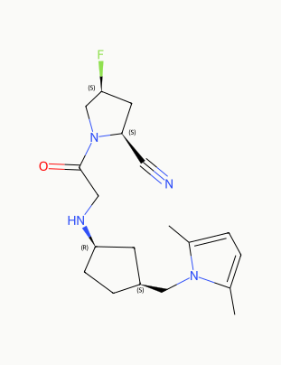 Cc1ccc(C)n1C[C@H]1CC[C@@H](NCC(=O)N2C[C@@H](F)C[C@H]2C#N)C1